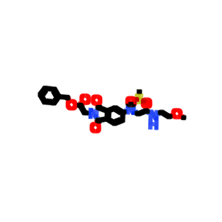 COCCNCCN(OS(C)=O)c1ccc2c(c1)C(=O)N(CC(=O)OCc1ccccc1)C2=O